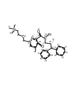 Cc1cn(COCC[Si](C)(C)C)nc(C(=O)N(C[C@H](C)C(c2ccccc2)c2ccccc2)C(C)C)c1=O